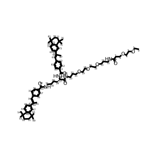 CCOCCOCCC(=O)NCCCOCCOCCOCCCNC(=O)[C@@H](CCCCNC(=O)c1ccc(/C=C(\C)c2ccc3c(c2)C(C)(C)CCC3(C)C)cc1)NC(=O)c1ccc(/C=C(\C)c2ccc3c(c2)C(C)(C)CCC3(C)C)cc1